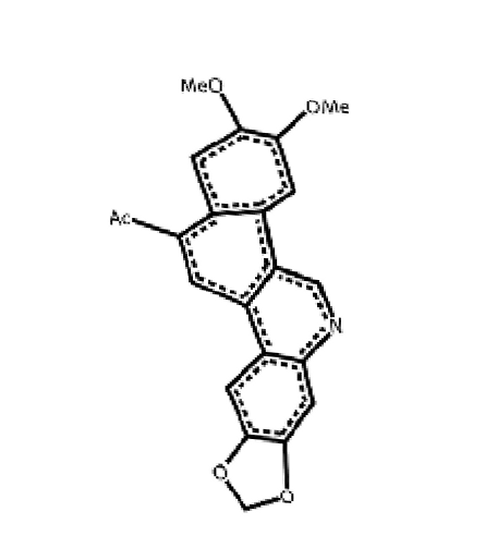 COc1cc2c(C(C)=O)cc3c4cc5c(cc4ncc3c2cc1OC)OCO5